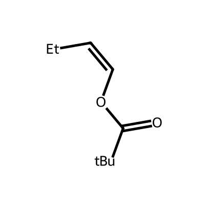 CC/C=C\OC(=O)C(C)(C)C